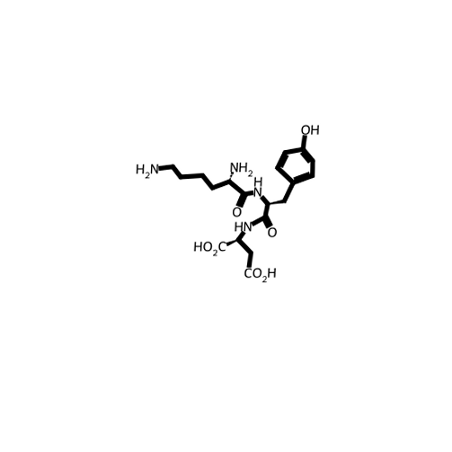 NCCCC[C@H](N)C(=O)N[C@@H](Cc1ccc(O)cc1)C(=O)N[C@@H](CC(=O)O)C(=O)O